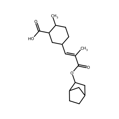 CC(=CC1CCC(C)C(C(=O)O)C1)C(=O)OC1CC2CCC1C2